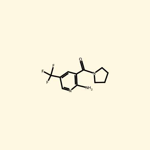 Nc1ncc(C(F)(F)F)cc1C(=O)N1CCCC1